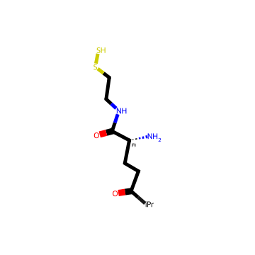 CC(C)C(=O)CC[C@@H](N)C(=O)NCCSS